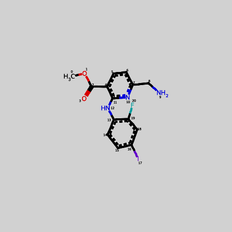 COC(=O)c1ccc(CN)nc1Nc1ccc(I)cc1F